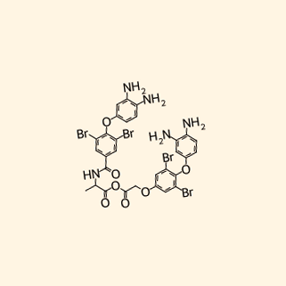 CC(NC(=O)c1cc(Br)c(Oc2ccc(N)c(N)c2)c(Br)c1)C(=O)OC(=O)COc1cc(Br)c(Oc2ccc(N)c(N)c2)c(Br)c1